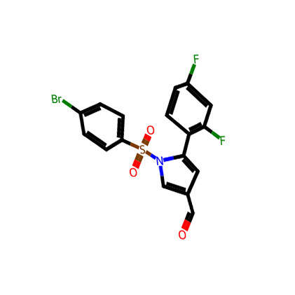 O=Cc1cc(-c2ccc(F)cc2F)n(S(=O)(=O)c2ccc(Br)cc2)c1